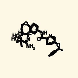 CC#C[C@H](C)Oc1ccc(C(=O)Nc2ccc3c(c2)[C@@]2(C)N=C(N)C(C)(C)S(O)(O)[C@@H]2CCO3)nc1